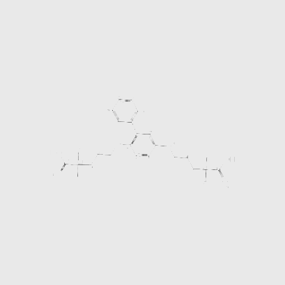 CC(C)(CCCOc1ccc(OCCCC(C)(C)C(=O)O)c(-c2ccccc2)c1)C(=O)O